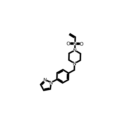 C=CS(=O)(=O)N1CCN(Cc2ccc(-n3cccn3)cc2)CC1